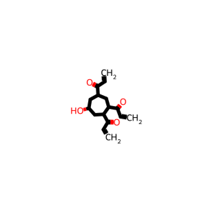 C=CC(=O)C1CC(O)CC(C(=O)C=C)C(C(=O)C=C)C1